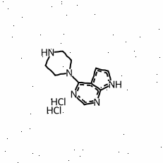 Cl.Cl.c1nc(N2CCNCC2)c2cc[nH]c2n1